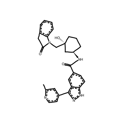 Cc1cc(-c2n[nH]c3ccc(C(=O)N[C@@H]4CCC[C@](O)(CN5C(=O)Cc6ccccc65)C4)cc23)ccn1